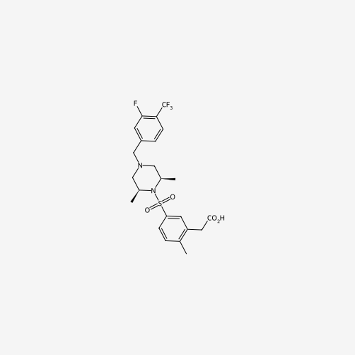 Cc1ccc(S(=O)(=O)N2[C@H](C)CN(Cc3ccc(C(F)(F)F)c(F)c3)C[C@@H]2C)cc1CC(=O)O